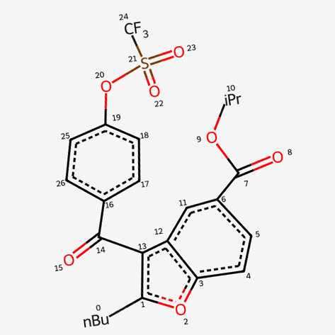 CCCCc1oc2ccc(C(=O)OC(C)C)cc2c1C(=O)c1ccc(OS(=O)(=O)C(F)(F)F)cc1